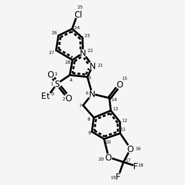 CCS(=O)(=O)c1c(N2Cc3cc4c(cc3C2=O)OC(F)(F)O4)nn2cc(Cl)ccc12